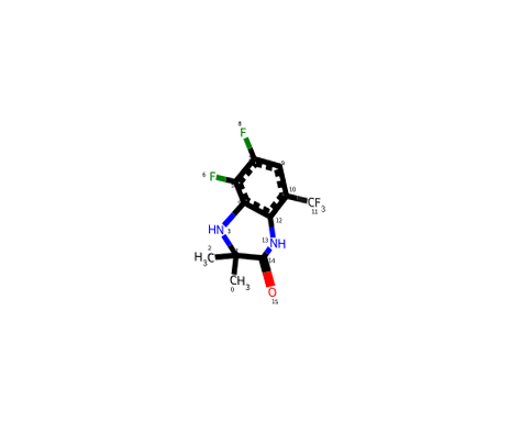 CC1(C)Nc2c(F)c(F)cc(C(F)(F)F)c2NC1=O